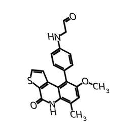 COc1cc(C)c2[nH]c(=O)c3sccc3c2c1-c1ccc(NCC=O)cc1